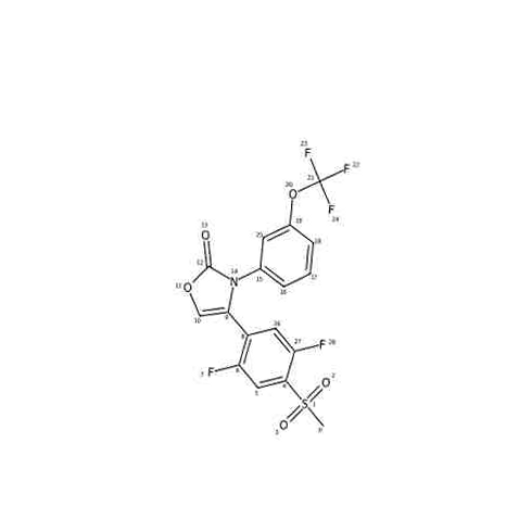 CS(=O)(=O)c1cc(F)c(-c2coc(=O)n2-c2cccc(OC(F)(F)F)c2)cc1F